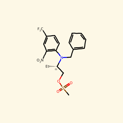 CC[C@@H](COS(C)(=O)=O)N(Cc1ccccc1)c1ccc(C(F)(F)F)cc1[N+](=O)[O-]